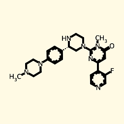 CN1CCN(c2ccc([C@H]3CN(c4nc(-c5ccncc5F)cc(=O)n4C)CCN3)cc2)CC1